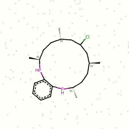 C[C@H]1CC[C@H](C)Pc2ccccc2P[C@@H](C)CC[C@H](C)CC(Cl)C1